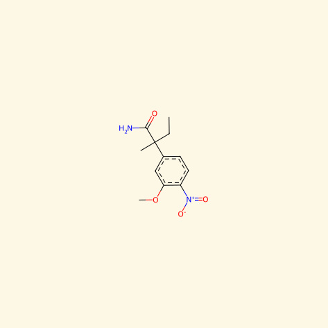 CCC(C)(C(N)=O)c1ccc([N+](=O)[O-])c(OC)c1